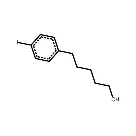 OCCCCCc1ccc(I)cc1